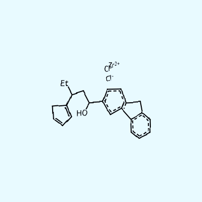 CCC(CC(O)c1ccc2c(c1)-c1ccccc1C2)C1=CC=CC1.[Cl-].[Cl-].[Zr+2]